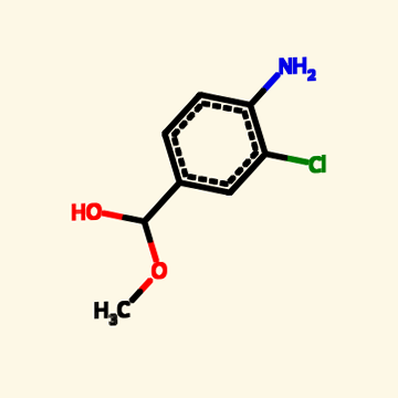 COC(O)c1ccc(N)c(Cl)c1